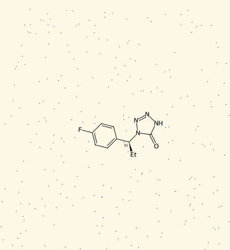 CC[C@@H](c1ccc(F)cc1)n1nn[nH]c1=O